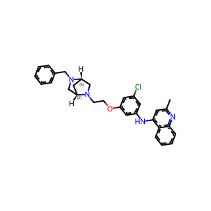 Cc1cc(Nc2cc(Cl)cc(OCCN3C[C@@H]4C[C@H]3CN4Cc3ccccc3)c2)c2ccccc2n1